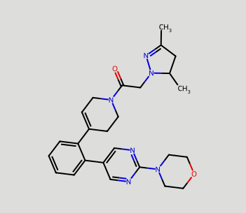 CC1=NN(CC(=O)N2CC=C(c3ccccc3-c3cnc(N4CCOCC4)nc3)CC2)C(C)C1